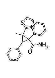 CC1(c2nccs2)C(c2ccccc2)C1(C(N)=O)c1ccccc1